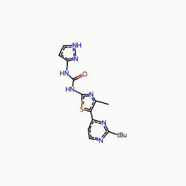 Cc1nc(NC(=O)Nc2cc[nH]n2)sc1-c1ccnc(C(C)(C)C)n1